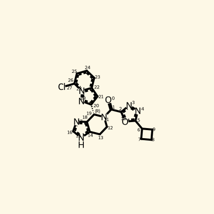 O=C(c1nnc(C2CCC2)o1)N1CCc2[nH]cnc2[C@@H]1c1cc2cccc(Cl)n2n1